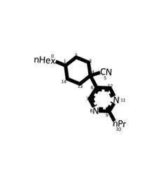 CCCCCCC1CCC(C#N)(c2cnc(CCC)nc2)CC1